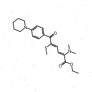 CCOC(=O)C(=CC=C(SC)C(=O)c1ccc(N2CCCCC2)cc1)N(C)C